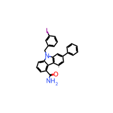 NC(=O)c1cccc2c1c1[c]cc(-c3ccccc3)cc1n2Cc1cccc(I)c1